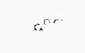 Nc1ccn([C@H]2CC[C@@H](/C=C/P(=O)(O)O)O2)c(=O)n1